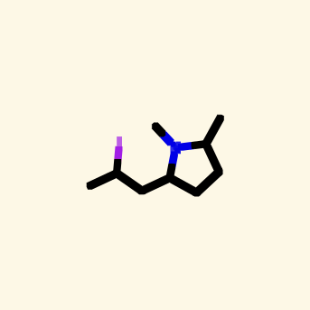 CC(I)CC1CCC(C)N1C